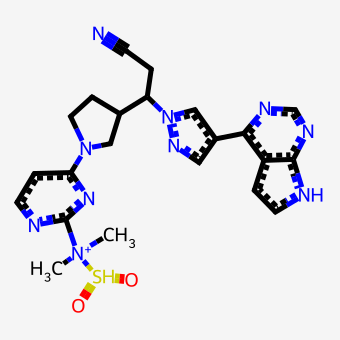 C[N+](C)(c1nccc(N2CCC(C(CC#N)n3cc(-c4ncnc5[nH]ccc45)cn3)C2)n1)[SH](=O)=O